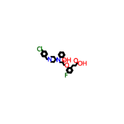 O=C(O)CCc1ccc(F)cc1OC[C@H](O)CN(c1ccccc1)C1CCN(Cc2ccc(Cl)cc2)CC1